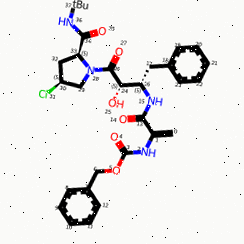 C=C(NC(=O)OCc1ccccc1)C(=O)N[C@@H](Cc1ccccc1)[C@H](O)C(=O)N1C[C@@H](Cl)C[C@H]1C(=O)NC(C)(C)C